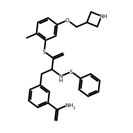 C=C(N)c1cccc(CC(NSc2ccccc2)C(=C)Sc2cc(OCC3CNC3)ccc2C)c1